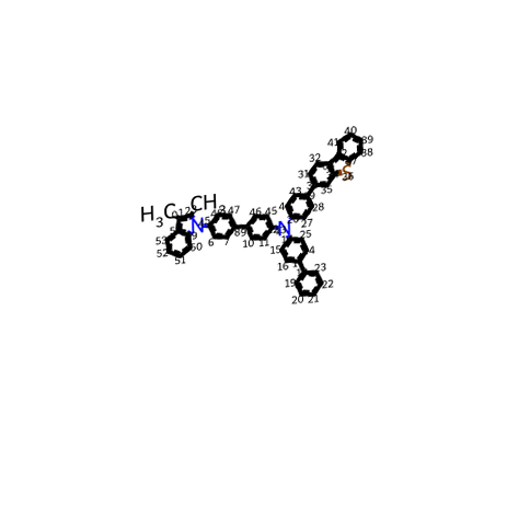 Cc1c(C)n(-c2ccc(-c3ccc(N(c4ccc(-c5ccccc5)cc4)c4ccc(-c5ccc6c(c5)sc5ccccc56)cc4)cc3)cc2)c2ccccc12